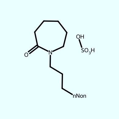 CCCCCCCCCCCCN1CCCCCC1=O.O=S(=O)(O)O